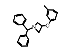 Cc1cccc(OC2CN(C(c3ccccc3)c3ccccc3)C2)c1